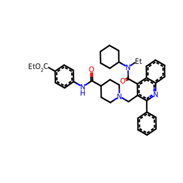 CCOC(=O)c1ccc(NC(=O)C2CCN(Cc3c(-c4ccccc4)nc4ccccc4c3C(=O)N(CC)C3CCCCC3)CC2)cc1